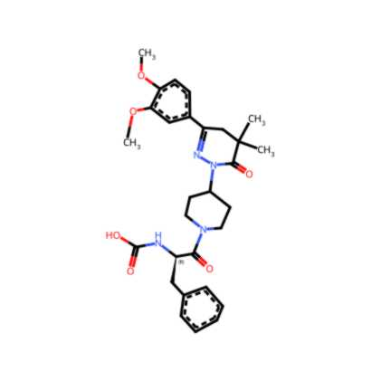 COc1ccc(C2=NN(C3CCN(C(=O)[C@@H](Cc4ccccc4)NC(=O)O)CC3)C(=O)C(C)(C)C2)cc1OC